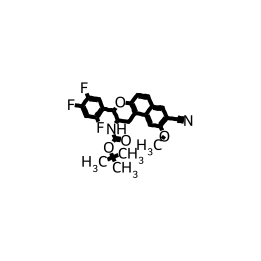 COc1cc2c3c(ccc2cc1C#N)OC(c1cc(F)c(F)cc1F)C(NC(=O)OC(C)(C)C)C3